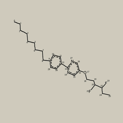 CCCCCCCCCc1ccc(-c2ncc(OCCC(F)C(F)CC)cn2)cc1